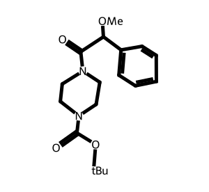 COC(C(=O)N1CCN(C(=O)OC(C)(C)C)CC1)c1ccccc1